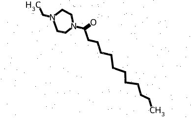 CCCCCCCCCCCC(=O)N1CCN(CC)CC1